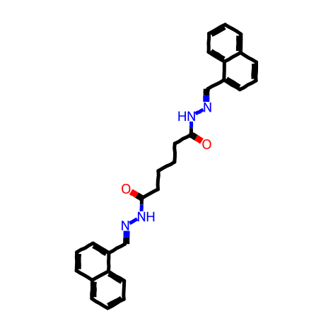 O=C(CCCCC(=O)NN=Cc1cccc2ccccc12)NN=Cc1cccc2ccccc12